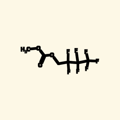 COC(=O)OCC(F)(F)C(F)(F)C(F)(F)F